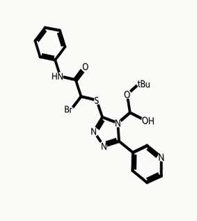 CC(C)(C)OC(O)n1c(SC(Br)C(=O)Nc2ccccc2)nnc1-c1cccnc1